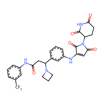 O=C1CCC(N2C(=O)C=C(Nc3cccc(C(CC(=O)Nc4cccc(C(F)(F)F)c4)N4CCC4)c3)C2=O)C(=O)N1